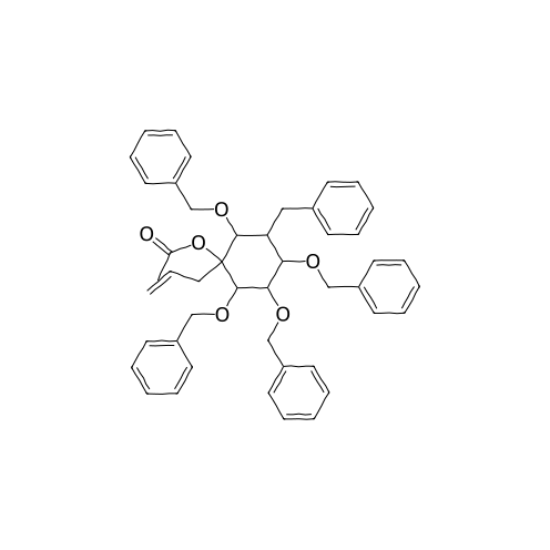 C=CCC1(OC(C)=O)C(OCc2ccccc2)C(Cc2ccccc2)C(OCc2ccccc2)C(OCc2ccccc2)C1OCc1ccccc1